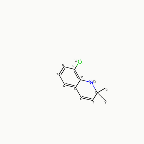 CC1(C)C=Cc2cccc(Cl)c2[N]1